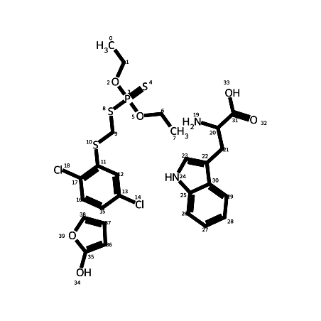 CCOP(=S)(OCC)SCSc1cc(Cl)ccc1Cl.NC(Cc1c[nH]c2ccccc12)C(=O)O.Oc1ccco1